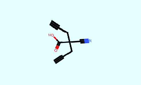 C#CCC(C#N)(CC#C)C(=O)O